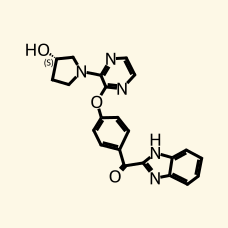 O=C(c1ccc(Oc2nccnc2N2CC[C@H](O)C2)cc1)c1nc2ccccc2[nH]1